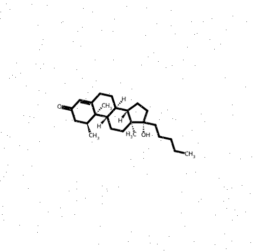 CCCCC[C@]1(O)CC[C@H]2[C@@H]3CCC4=CC(=O)C[C@H](C)[C@]4(C)[C@H]3CC[C@@]21C